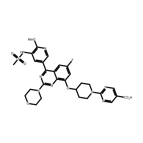 COc1ncc(-c2nc(N3CCOCC3)nc3c(OC4CCN(c5ncc(C(=O)O)cn5)CC4)cc(F)cc23)cc1NS(C)(=O)=O